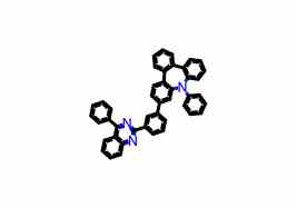 c1ccc(-c2nc(-c3cccc(-c4ccc5c(c4)N(c4ccccc4)c4ccccc4-c4ccccc4-5)c3)nc3ccccc23)cc1